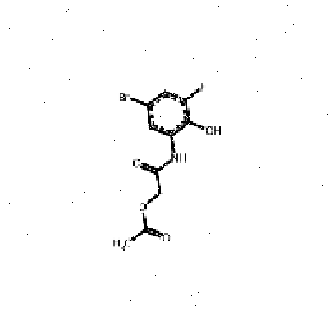 CC(=O)OCC(=O)Nc1cc(Br)cc(F)c1O